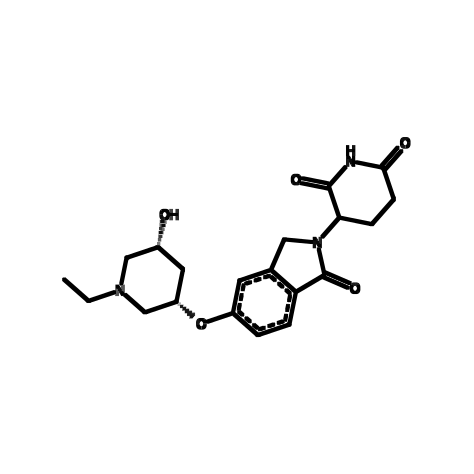 CCN1C[C@H](O)C[C@H](Oc2ccc3c(c2)CN(C2CCC(=O)NC2=O)C3=O)C1